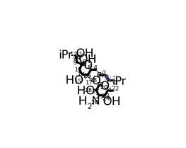 CC(C)/C=C/[C@@H](CC1O[C@](O)(C[C@@H](O)C(C)C)CC(O)[C@H]1C)OC1OC(C)C(O)C(N)C1O